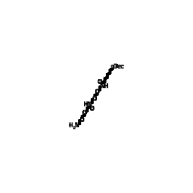 CCCCCCCCCCCCCCCCCC(=O)NCCOCCOCCNC(=O)CCOCCOCCN